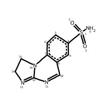 NS(=O)(=O)c1ccc2c(c1)C=NC1=NCCN12